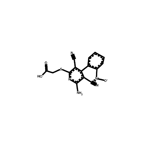 N#Cc1c(N)nc(SCC(=O)O)c(C#N)c1-c1ccccc1[N+](=O)[O-]